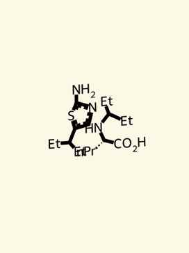 CCC(CC)c1cnc(N)s1.CCC[C@H](NC(CC)CC)C(=O)O